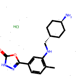 Cc1ccc(-c2n[nH]c(=O)o2)cc1NC[C@H]1CC[C@H](N)CC1.Cl